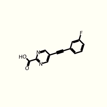 O=C(O)c1ncc(C#Cc2cccc(F)c2)cn1